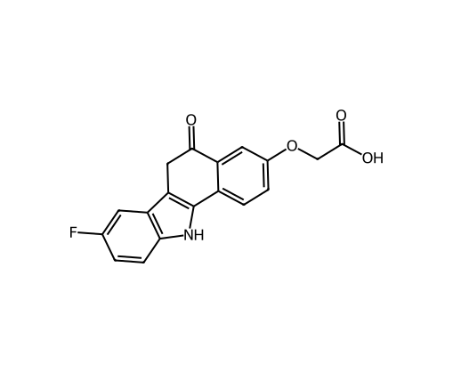 O=C(O)COc1ccc2c(c1)C(=O)Cc1c-2[nH]c2ccc(F)cc12